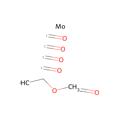 [CH]COC.[C]=O.[C]=O.[C]=O.[C]=O.[C]=O.[Mo]